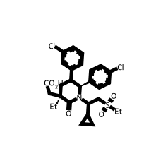 CC[C@]1(CC(=O)O)CC(c2cccc(Cl)c2)[C@@H](c2ccc(Cl)cc2)N(C(CS(=O)(=O)CC)C2CC2)C1=O